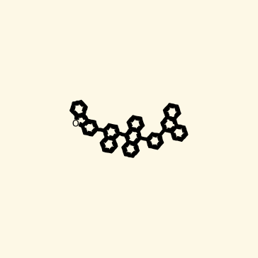 c1cc(-c2c3ccccc3c(-c3ccc(-c4ccc5oc6ccccc6c5c4)c4ccccc34)c3ccccc23)cc(-c2cc3ccccc3c3ccccc23)c1